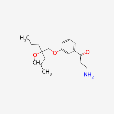 CCCC(CCC)(COc1cccc(C(=O)CCN)c1)OC